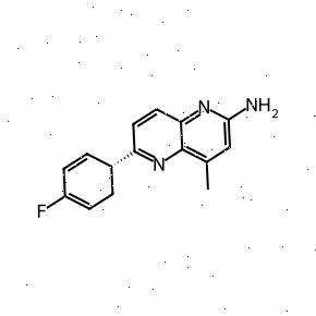 Cc1cc(N)nc2ccc([C@H]3C=CC(F)=CC3)nc12